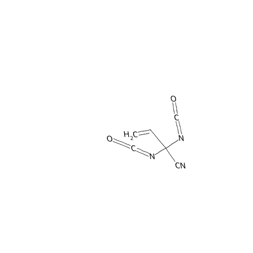 C=CC(C#N)(N=C=O)N=C=O